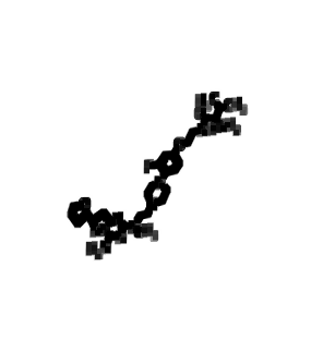 CC(C)C(N)C(=O)NCCOc1ccc(N2CCN(CCN(C)c3nc(N)n4nc(-c5ccco5)cc4n3)CC2)c(F)c1